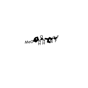 COC1CC2(NC(=O)NCc3ccnc(OC(F)F)c3)CC1C2